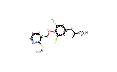 CCCSc1ncccc1COc1c(F)cc(CC(C)C(=O)O)cc1F